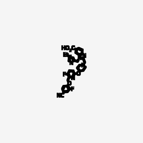 CCn1cnc(Cn2c(CN3CCC(Oc4ccc(F)c(COc5ccc(C#N)cc5F)n4)CC3)nc3ccc(C(=O)O)cc32)c1